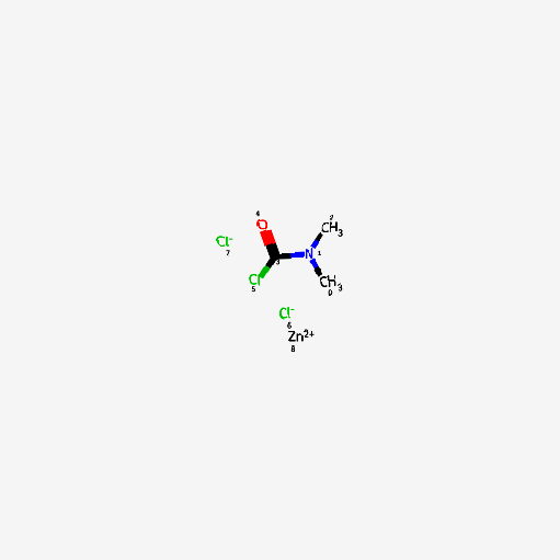 CN(C)C(=O)Cl.[Cl-].[Cl-].[Zn+2]